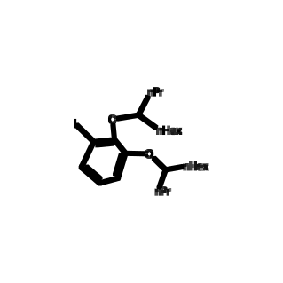 CCCCCCC(CCC)Oc1cccc(I)c1OC(CCC)CCCCCC